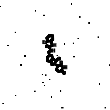 CCc1ccccc1NC(=O)NCc1ccc2c(c1)C(=O)N(C1CCC(=O)NC1=O)C2